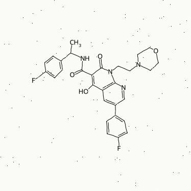 CC(NC(=O)c1c(O)c2cc(-c3ccc(F)cc3)cnc2n(CCN2CCOCC2)c1=O)c1ccc(F)cc1